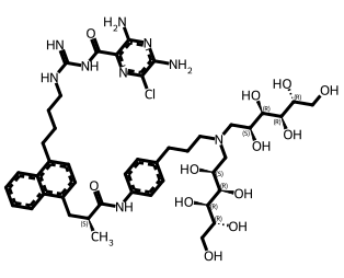 C[C@@H](Cc1ccc(CCCCNC(=N)NC(=O)c2nc(Cl)c(N)nc2N)c2ccccc12)C(=O)Nc1ccc(CCCN(C[C@H](O)[C@@H](O)[C@H](O)[C@H](O)CO)C[C@H](O)[C@@H](O)[C@H](O)[C@H](O)CO)cc1